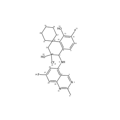 Cc1ncc2c(NC3c4ccc(F)c(O)c4C4(CCCCC4)CC3(O)C(F)(F)F)cc(F)cc2n1